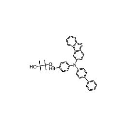 CC(C)(O)C(C)(C)OBc1ccc(N(c2ccc(-c3ccccc3)cc2)c2ccc3sc4ccccc4c3c2)cc1